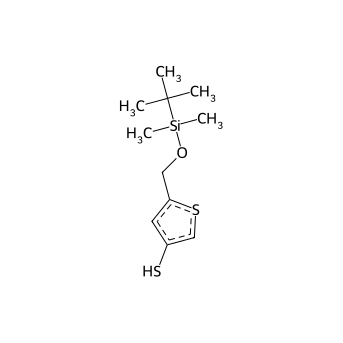 CC(C)(C)[Si](C)(C)OCc1cc(S)cs1